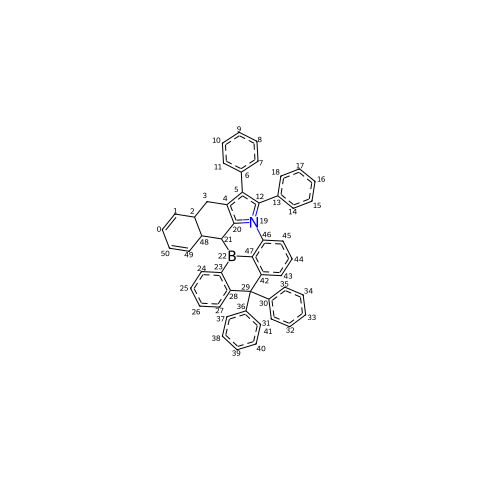 C1=CC2Cc3c(-c4ccccc4)c(-c4ccccc4)n4c3C(B3c5ccccc5C(c5ccccc5)(c5ccccc5)c5cccc-4c53)C2C=C1